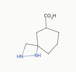 O=C(O)C1CCCC2(CNN2)C1